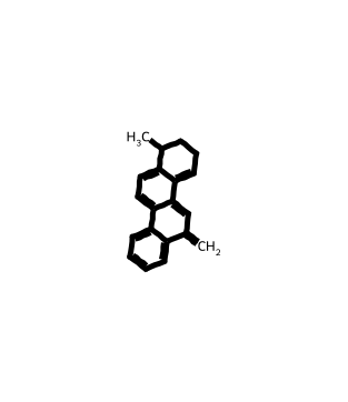 C=c1cc2c3c(ccc2c2ccccc12)C(C)CCC=3